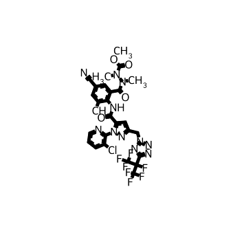 COC(=O)N(C)N(C)C(=O)c1cc(C#N)cc(C)c1NC(=O)c1cc(Cn2nnc(C(F)(C(F)(F)F)C(F)(F)F)n2)nn1-c1ncccc1Cl